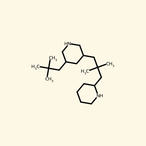 CC(C)(C)CC1CNCC(CC(C)(C)CC2CCCCN2)C1